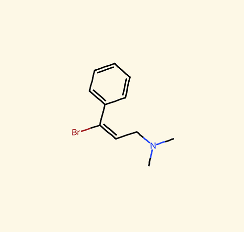 CN(C)C/C=C(/Br)c1ccccc1